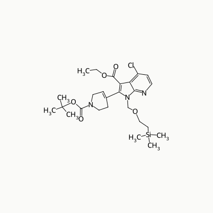 CCOC(=O)c1c(C2=CCN(C(=O)OC(C)(C)C)CC2)n(COCC[Si](C)(C)C)c2nccc(Cl)c12